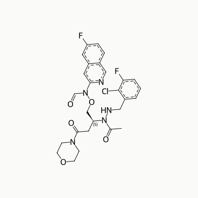 CC(=O)N(NCc1cccc(F)c1Cl)[C@H](CON(C=O)c1cc2cc(F)ccc2cn1)CC(=O)N1CCOCC1